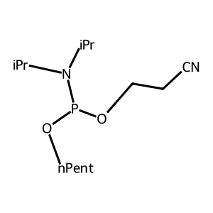 CCCCCOP(OCCC#N)N(C(C)C)C(C)C